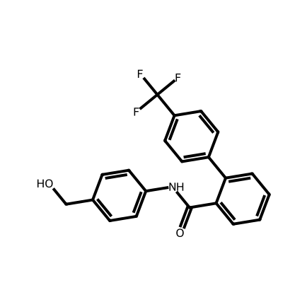 O=C(Nc1ccc(CO)cc1)c1ccccc1-c1ccc(C(F)(F)F)cc1